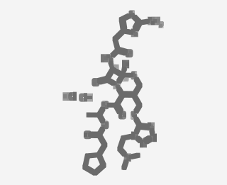 CC(OC(=O)CC1CCCC1)OC(=O)C1=C(CSc2nnnn2CCN(C)C)CS[C@H]2[C@H](NC(=O)Cc3csc(N)n3)C(=O)N12.Cl.Cl